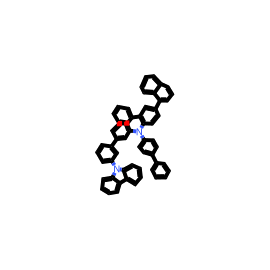 c1ccc(-c2ccc(N(c3cccc(-c4cccc(-n5c6ccccc6c6ccccc65)c4)c3)c3ccc(-c4cccc5ccccc45)cc3-c3ccccc3)cc2)cc1